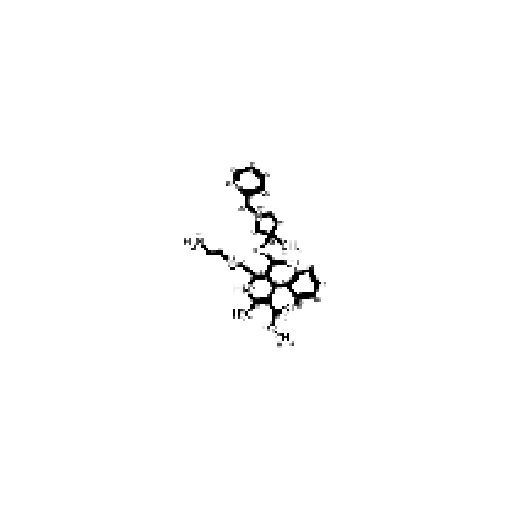 COC(=O)C1=C(C)NC(COCCN)=C(C(=O)OC2(C)CCN(Cc3ccccn3)C2)C1c1ccccc1Cl